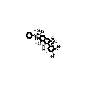 [N]=Nc1ccc(-c2c(S(=O)(=O)O)cc3cc(S(=O)(=O)O)c(N=Nc4ccccc4)c(O)c3c2N)cc1N=[N]